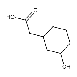 O=C(O)CC1CCCC(O)C1